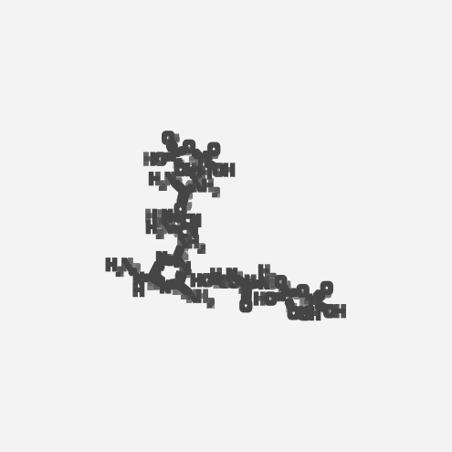 N#CN.N#CN.NC(N)=O.NC(N)=O.NNc1nc(N)nc(N)n1.O=C(O)O.O=P(O)(O)OP(=O)(O)O.O=P(O)(O)OP(=O)(O)O